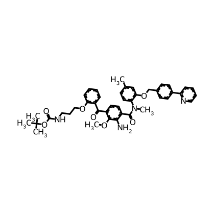 COc1c(C(=O)c2ccccc2OCCCNC(=O)OC(C)(C)C)ccc(C(=O)N(C)c2ccc(C)cc2OCc2ccc(-c3ccccn3)cc2)c1N